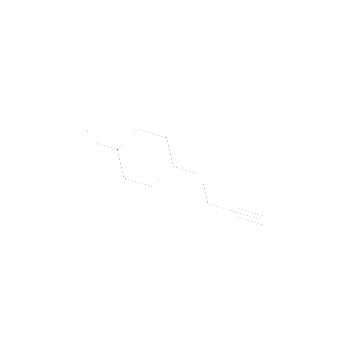 C#CCOC1CCC(O)CC1